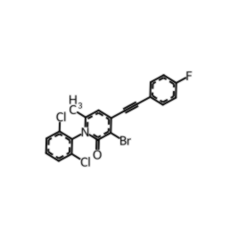 Cc1cc(C#Cc2ccc(F)cc2)c(Br)c(=O)n1-c1c(Cl)cccc1Cl